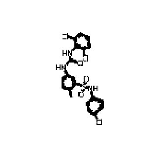 Cc1ccc(NC(=O)Nc2c(Cl)cccc2Cl)cc1S(=O)(=O)Nc1ccc(Cl)cc1